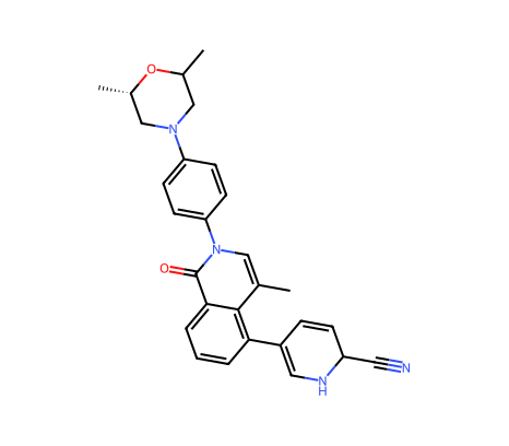 Cc1cn(-c2ccc(N3CC(C)O[C@@H](C)C3)cc2)c(=O)c2cccc(C3=CNC(C#N)C=C3)c12